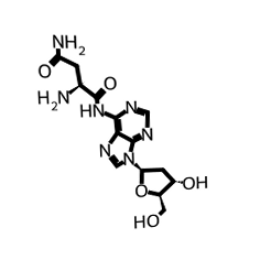 NC(=O)C[C@H](N)C(=O)Nc1ncnc2c1ncn2[C@H]1C[C@H](O)[C@@H](CO)O1